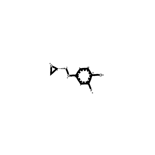 Fc1cc(OC[C@@H]2CO2)ccc1Cl